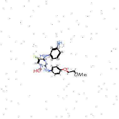 COCCOc1ccc(Nc2nc(Nc3cccc(N)c3)c(F)c[n+]2O)cc1